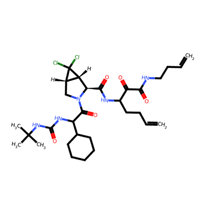 C=CCCNC(=O)C(=O)C(CCC=C)NC(=O)[C@@H]1[C@@H]2[C@H](CN1C(=O)C(NC(=O)NC(C)(C)C)C1CCCCC1)C2(Cl)Cl